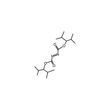 CC(C)C(OC(=O)/N=N/C(=O)OC(C(C)C)C(C)C)C(C)C